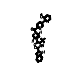 COc1cccnc1-c1ccc(C(=O)N2C[C@@H]3C[C@H]2CN3C(=O)[C@@H](NC(=O)c2cc3ccccc3[nH]2)C(C)(C)C)nc1